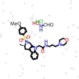 COc1ccc(S(=O)(=O)N2Cc3c(c4ccccc4n3CC(=O)NCCCN3CCOCC3)C[C@H]2C)cc1.Cl.O=CNO